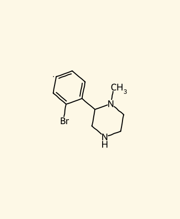 CN1CCNCC1c1cc[c]cc1Br